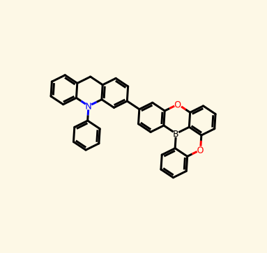 c1ccc(N2c3ccccc3Cc3ccc(-c4ccc5c(c4)Oc4cccc6c4B5c4ccccc4O6)cc32)cc1